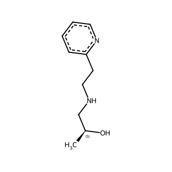 C[C@H](O)CNCCc1ccccn1